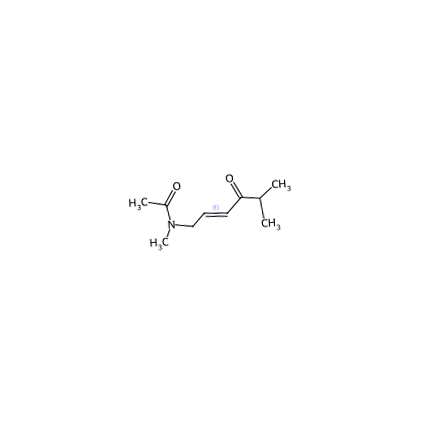 CC(=O)N(C)C/C=C/C(=O)C(C)C